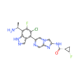 C[C@H](N)c1c(F)c(Cl)c(-c2cn3cc(NC(=O)[C@@H]4C[C@@H]4F)nc3cn2)c2cn[nH]c12